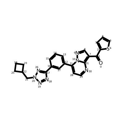 O=C(c1cccs1)c1cnn2c(-c3cccc(-c4nnn(CC5CCC5)n4)c3)ccnc12